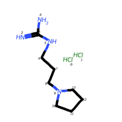 Cl.Cl.N=C(N)NCCCN1CCCC1